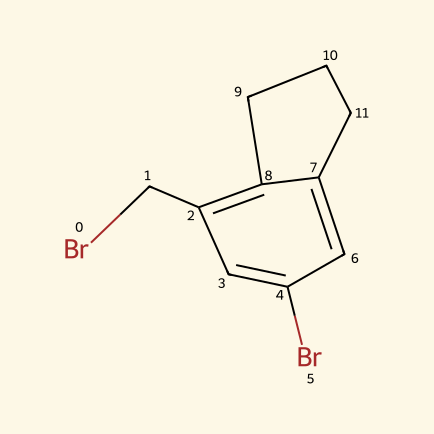 BrCc1cc(Br)cc2c1CCC2